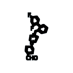 O=Cc1ccc(N2CCN(Cc3ccccc3-c3ccc(F)cc3F)CC2)cc1